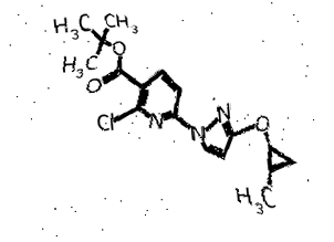 C[C@@H]1C[C@@H]1Oc1ccn(-c2ccc(C(=O)OC(C)(C)C)c(Cl)n2)n1